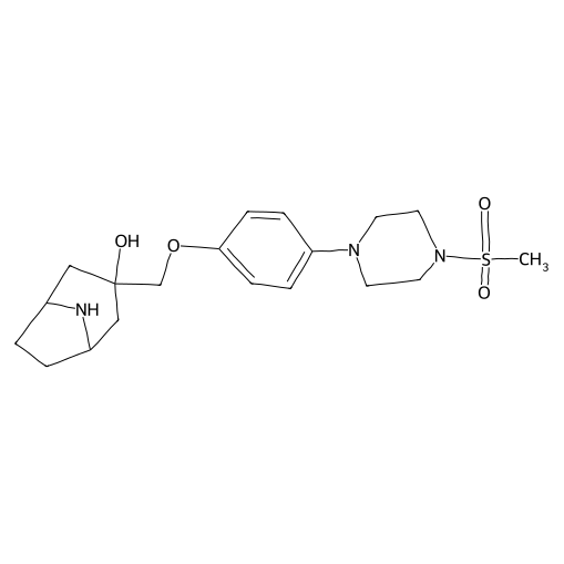 CS(=O)(=O)N1CCN(c2ccc(OCC3(O)CC4CCC(C3)N4)cc2)CC1